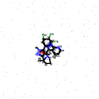 Cn1nc2c(c1-c1cc(F)c(F)c(F)c1)C[C@H]1CC[C@H]2N1C(=O)c1nn(C)c2ncccc12